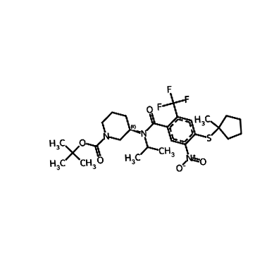 CC(C)N(C(=O)c1cc([N+](=O)[O-])c(SC2(C)CCCC2)cc1C(F)(F)F)[C@@H]1CCCN(C(=O)OC(C)(C)C)C1